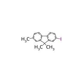 Cc1ccc2c(c1)C(C)(C)c1cc(I)ccc1-2